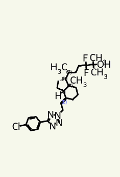 C[C@H](CCC(F)(F)C(C)(C)O)[C@H]1CC[C@H]2/C(=C/Cn3nnc(-c4ccc(Cl)cc4)n3)CCC[C@]12C